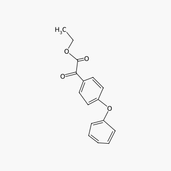 CCOC(=O)C(=O)c1ccc(Oc2ccccc2)cc1